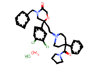 Cl.O.O=C1COC(CCN2CCC(C(=O)N3CCCC3)(c3ccccc3)CC2)(c2ccc(Cl)c(Cl)c2)CN1Cc1ccccc1